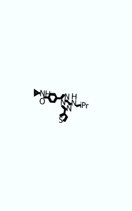 CC(C)CNc1nc(-c2ccsc2)cn2c(-c3ccc(C(=O)NC4CC4)cc3)cnc12